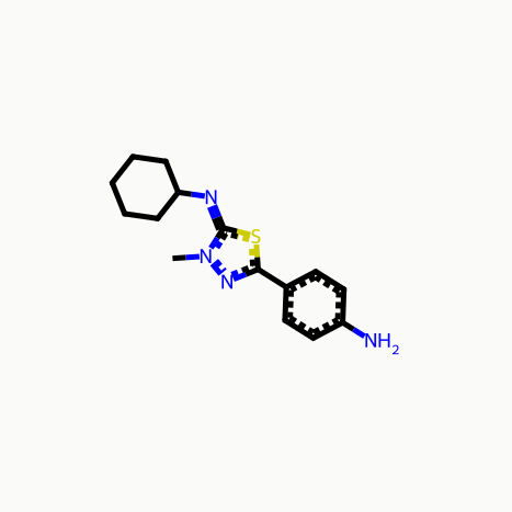 Cn1nc(-c2ccc(N)cc2)s/c1=N/C1CCCCC1